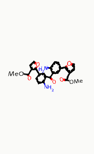 COC(=O)c1ccoc1-c1ccc(N)c(C(=O)c2cc(-c3occc3C(=O)OC)ccc2N)c1